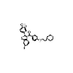 Cc1ccc(-c2sc3cc(F)ccc3c2C(=O)c2ccc(OCCN3CCCCC3)cc2)cc1